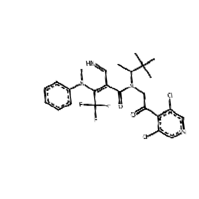 CC(N(CC(=O)c1c(Cl)cncc1Cl)C(=O)/C(C=N)=C(/N(C)c1ccccc1)C(F)(F)F)C(C)(C)C